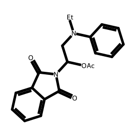 CCN(CC(OC(C)=O)N1C(=O)c2ccccc2C1=O)c1ccccc1